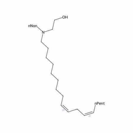 CCCCC/C=C\C/C=C\CCCCCCCCN(CCO)CCCCCCCCC